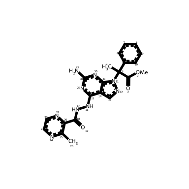 COC(=O)C(C)(c1ccccc1)n1ncc2c(NNC(=O)c3nccnc3C)nc(N)nc21